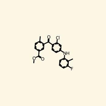 COC(=O)c1ccc(C)c(C(=O)c2ccc(Nc3cccc(F)c3C)cc2Cl)c1